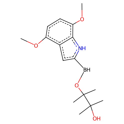 COc1ccc(OC)c2[nH]c(BOC(C)(C)C(C)(C)O)cc12